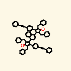 O=C1C(Cc2ccccc2)=C(c2ccc(C#Cc3ccccc3)cc2)C(c2ccc(C3=C(Cc4ccccc4)C(=O)C(Cc4ccccc4)=C3c3ccc(C#Cc4ccccc4)cc3)c3ccccc23)=C1Cc1ccccc1